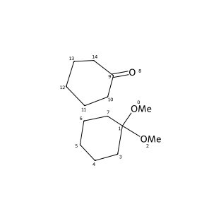 COC1(OC)CCCCC1.O=C1CCCCC1